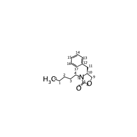 CCCCCN1C(=O)OC[C@@H]1Cc1ccccc1